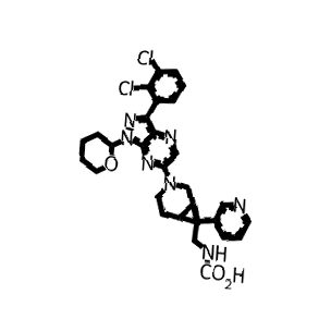 O=C(O)NCC1(c2cccnc2)C2CCN(c3cnc4c(-c5cccc(Cl)c5Cl)nn(C5CCCCO5)c4n3)CC21